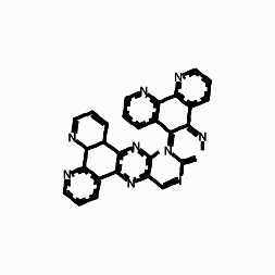 C=C(/N=C1\C(=N/C)c2cccnc2-c2ncccc21)/I=C\c1nc2c(nc1C)C1C=CC=NC1c1ncccc1-2